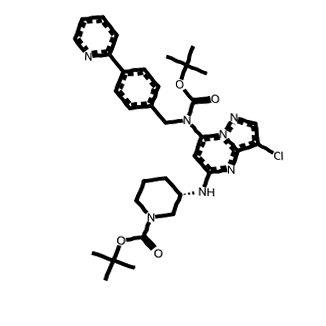 CC(C)(C)OC(=O)N1CCC[C@H](Nc2cc(N(Cc3ccc(-c4ccccn4)cc3)C(=O)OC(C)(C)C)n3ncc(Cl)c3n2)C1